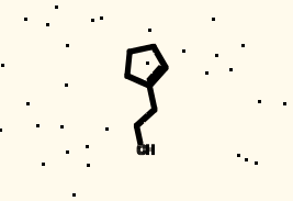 OCCC1=CCCC1